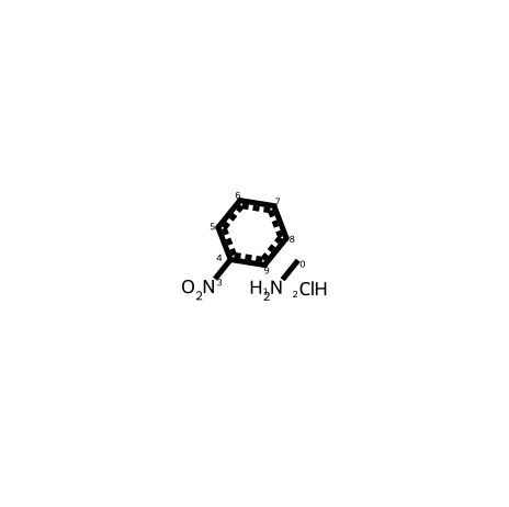 CN.Cl.O=[N+]([O-])c1ccccc1